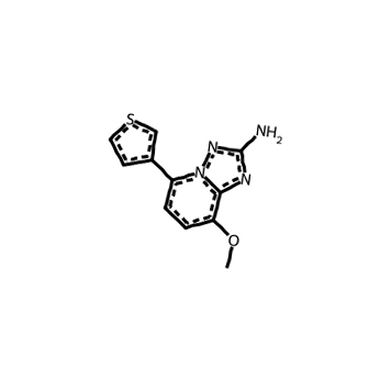 COc1ccc(-c2ccsc2)n2nc(N)nc12